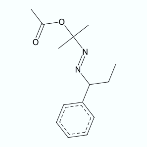 CCC(N=NC(C)(C)OC(C)=O)c1ccccc1